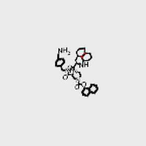 NCc1ccc(CNC(=O)[C@@H]2CN(C(=O)Oc3cccc4ccccc34)CCN2C(=O)[C@@H](CC2CCCCC2)NC2CCCCC2)cc1